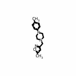 Cc1ccc(N2CCN(Cc3cc(C)on3)CC2)cc1